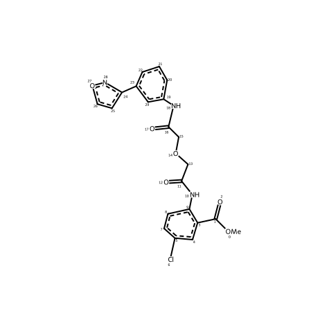 COC(=O)c1cc(Cl)ccc1NC(=O)COCC(=O)Nc1cccc(-c2ccon2)c1